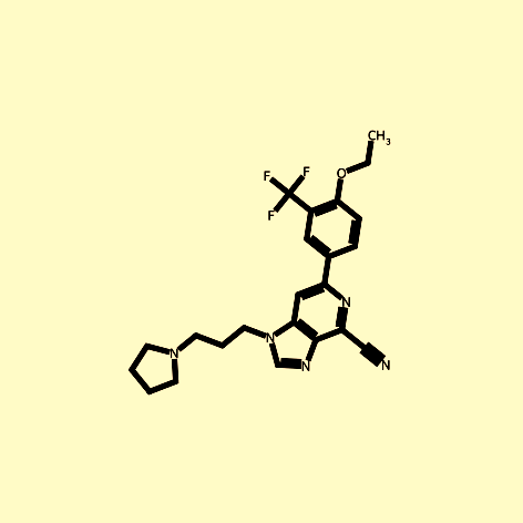 CCOc1ccc(-c2cc3c(ncn3CCCN3CCCC3)c(C#N)n2)cc1C(F)(F)F